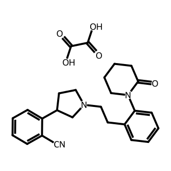 N#Cc1ccccc1C1CCN(CCc2ccccc2N2CCCCC2=O)C1.O=C(O)C(=O)O